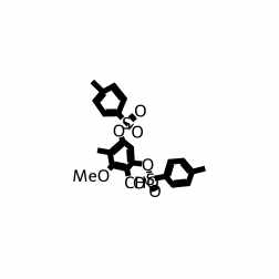 COc1c(C)c(OS(=O)(=O)c2ccc(C)cc2)cc(OS(=O)(=O)c2ccc(C)cc2)c1C=O